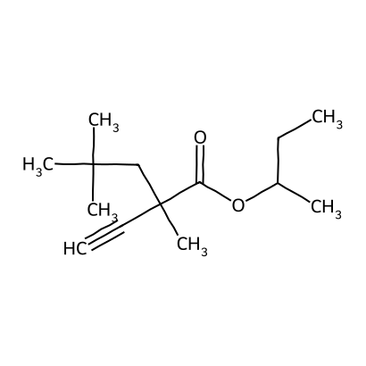 C#CC(C)(CC(C)(C)C)C(=O)OC(C)CC